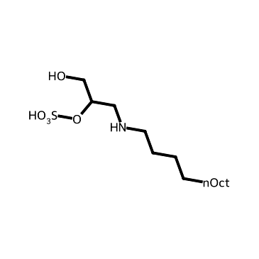 CCCCCCCCCCCCNCC(CO)OS(=O)(=O)O